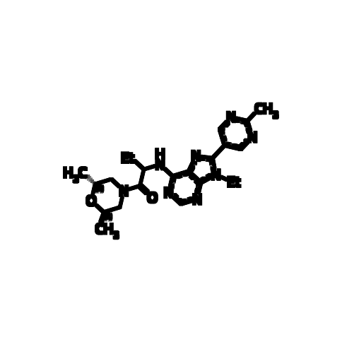 CCC(Nc1ncnc2c1nc(-c1cnc(C)nc1)n2CC)C(=O)N1C[C@@H](C)O[C@H](C)C1